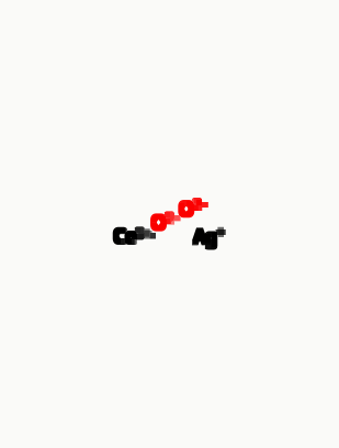 [Ag+].[Ce+3].[O-2].[O-2]